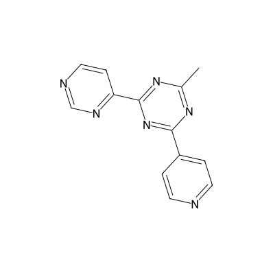 Cc1nc(-c2ccncc2)nc(-c2ccncn2)n1